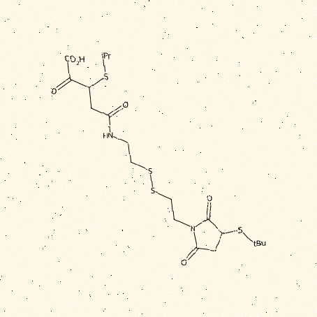 CC(C)SC(CC(=O)NCCSSCCN1C(=O)CC(SC(C)(C)C)C1=O)C(=O)C(=O)O